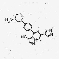 Cn1cc(-c2cn3ncc(C#N)c3c(-c3ccc(N4CCCC(N)C4)nc3)n2)cn1